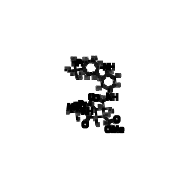 CCCC(C)(C)NC(=O)C1(C)C(C(=O)OC)C(C)(C(=O)Nc2ccc3[nH]c4ccc(C(C)(C)CCC)cc4c3c2)C1C(=O)OC